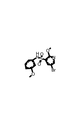 COc1cccc(NS(=O)(=O)c2cc(Br)cnc2OC)c1